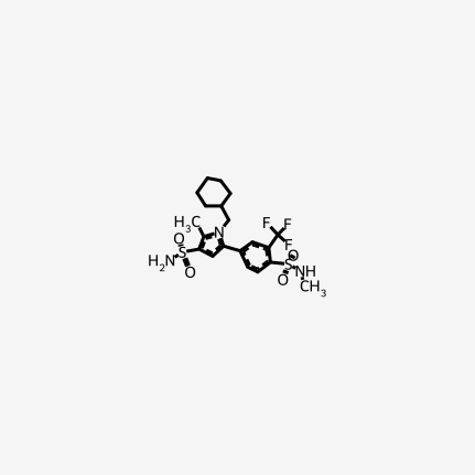 CNS(=O)(=O)c1ccc(-c2cc(S(N)(=O)=O)c(C)n2CC2CCCCC2)cc1C(F)(F)F